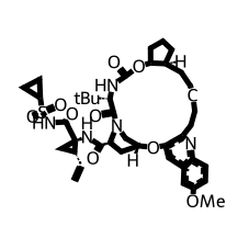 C=C[C@@H]1C[C@]1(NC(=O)[C@@H]1C[C@@H]2CN1C(=O)[C@H](C(C)(C)C)NC(=O)OC1CCC[C@H]1CCCCCc1nc3ccc(OC)cc3cc1O2)C(=O)NS(=O)(=O)C1CC1